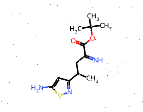 CC(CC(=N)C(=O)OC(C)(C)C)c1cc(N)sn1